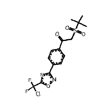 CC(C)(C)S(=O)(=O)CC(=O)c1ccc(-c2noc(C(F)(F)Cl)n2)cc1